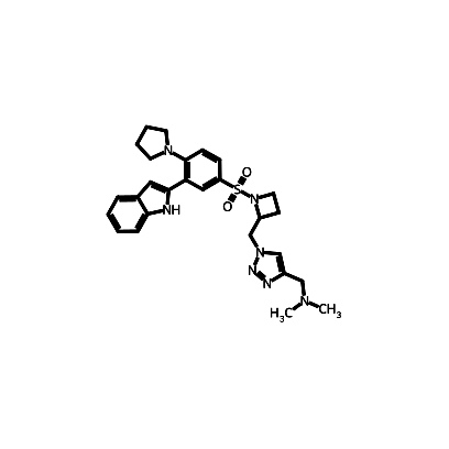 CN(C)Cc1cn(CC2CCN2S(=O)(=O)c2ccc(N3CCCC3)c(-c3cc4ccccc4[nH]3)c2)nn1